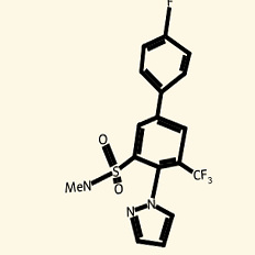 CNS(=O)(=O)c1cc(-c2ccc(F)cc2)cc(C(F)(F)F)c1-n1cccn1